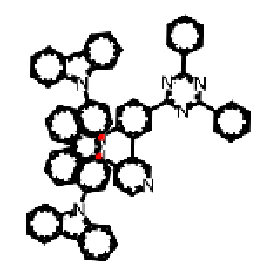 c1ccc(-c2nc(-c3ccccc3)nc(-c3ccc(-n4c5ccccc5c5cc(-n6c7ccccc7c7ccccc76)ccc54)c(-c4cnccc4-n4c5ccccc5c5cc(-n6c7ccccc7c7ccccc76)ccc54)c3)n2)cc1